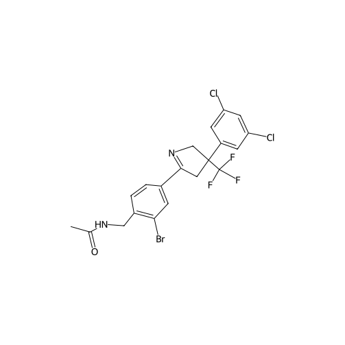 CC(=O)NCc1ccc(C2=NCC(c3cc(Cl)cc(Cl)c3)(C(F)(F)F)C2)cc1Br